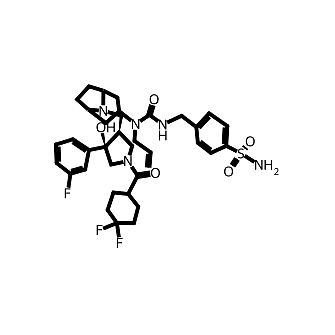 C=CCN(C(=O)NCc1ccc(S(N)(=O)=O)cc1)C1CC2CCC(C1)N2C[C@H]1CN(C(=O)C2CCC(F)(F)CC2)C[C@]1(O)c1cccc(F)c1